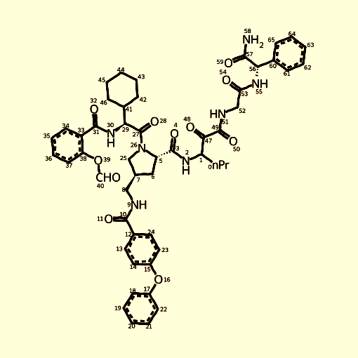 CCCC(NC(=O)[C@@H]1C[C@@H](CNC(=O)c2ccc(Oc3ccccc3)cc2)CN1C(=O)[C@@H](NC(=O)c1ccccc1OC=O)C1CCCCC1)C(=O)C(=O)NCC(=O)N[C@H](C(N)=O)c1ccccc1